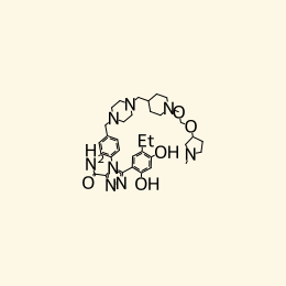 CCc1cc(-c2nnc(C(N)=O)n2-c2ccc(CN3CCN(CC4CCN(OCOC5CCN(C)C5)CC4)CC3)cc2)c(O)cc1O